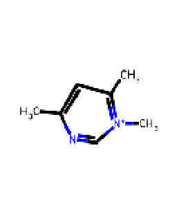 Cc1cc(C)[n+](C)cn1